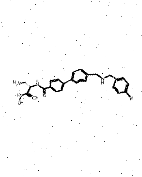 NC[C@H](NC(=O)c1ccc(-c2ccc(CNCc3ccc(F)cc3)cc2)cc1)C(=O)NO